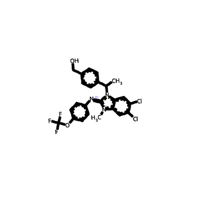 CC(c1ccc(CO)cc1)n1/c(=N/c2ccc(OC(F)(F)F)cc2)n(C)c2cc(Cl)c(Cl)cc21